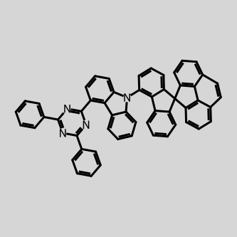 c1ccc(-c2nc(-c3ccccc3)nc(-c3cccc4c3c3ccccc3n4-c3cccc4c3-c3ccccc3C43c4cccc5ccc6cccc3c6c45)n2)cc1